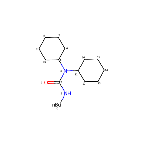 CCCCNC(=O)N(C1CCCCC1)C1CCCCC1